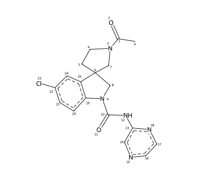 CC(=O)N1CCC2(C1)CN(C(=O)Nc1cnccn1)c1ccc(Cl)cc12